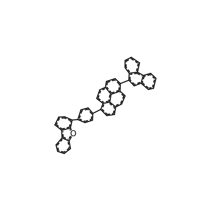 c1ccc2c(c1)cc(-c1ccc3ccc4c(-c5ccc(-c6cccc7c6oc6ccccc67)cc5)ccc5ccc1c3c54)c1ccccc12